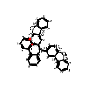 c1ccc(-c2ccccc2N(c2cnc3oc4ccccc4c3c2)c2cnc3oc4ccccc4c3c2)cc1